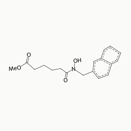 COC(=O)CCCCC(=O)N(O)Cc1ccc2ccccc2c1